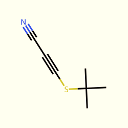 CC(C)(C)SC#CC#N